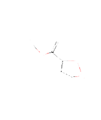 C=C(OC)C1CCOO1